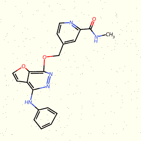 CNC(=O)c1cc(COc2nnc(Nc3ccccc3)c3ccoc23)ccn1